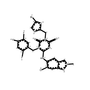 Cn1cc2cc(Nc3nc(=O)n(Cc4ncc(Br)s4)c(=O)n3Cc3cc(F)c(F)cc3F)c(Cl)cc2n1